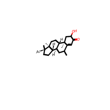 CC(=O)[C@]1(C)CC[C@H]2[C@@H]3CC(C)C4=CC(=O)C(O)C[C@]4(C)[C@H]3CC[C@@]21C